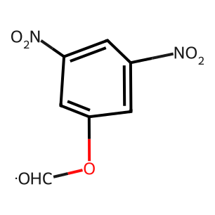 O=[C]Oc1cc([N+](=O)[O-])cc([N+](=O)[O-])c1